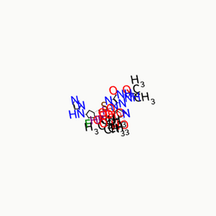 CC(C)C(=O)Nc1nc2c(ncn2[C@@H]2O[C@H](CO)[C@@H](O[Si](C)(C)C(C)(C)C)[C@H]2O[P@](=S)(OCCC#N)OC[C@H]2C[C@@H](Nc3ccncn3)[C@@H](F)[C@@H]2O[PH](=O)O)c(=O)[nH]1